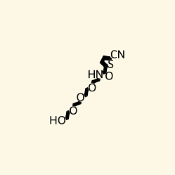 N#Cc1ccc(C(=O)NCCOCCOCCOCCO)s1